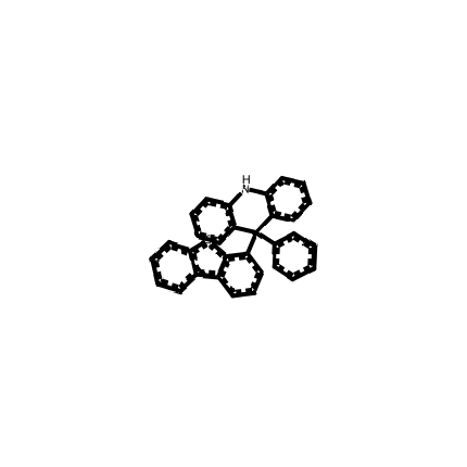 c1ccc(C2(c3cccc4c3sc3ccccc34)c3ccccc3Nc3ccccc32)cc1